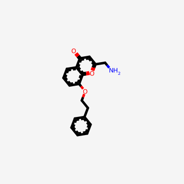 NCc1cc(=O)c2cccc(OCCc3ccccc3)c2o1